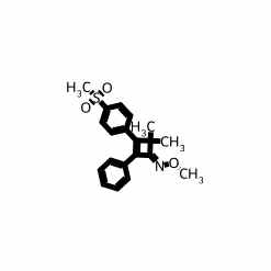 CO/N=C1/C(c2ccccc2)=C(c2ccc(S(C)(=O)=O)cc2)C1(C)C